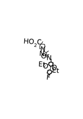 CCOc1cc(CN2CC3(C2)ON=C(N2CCC(C)(C(=O)O)CC2)C3C)cc(OCC)c1-c1ccc(F)cc1